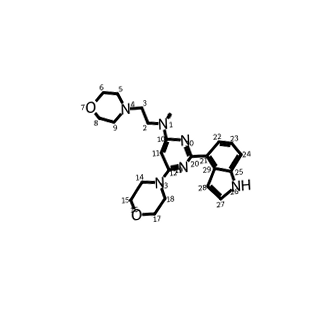 CN(CCN1CCOCC1)c1cc(N2CCOCC2)nc(-c2cccc3[nH]ccc23)n1